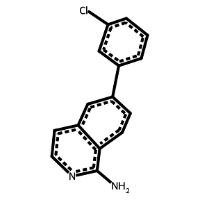 Nc1nccc2cc(-c3cccc(Cl)c3)ccc12